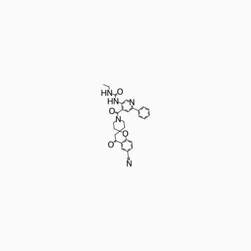 CCNC(=O)Nc1cnc(-c2ccccc2)cc1C(=O)N1CCC2(CC1)CC(=O)c1cc(C#N)ccc1O2